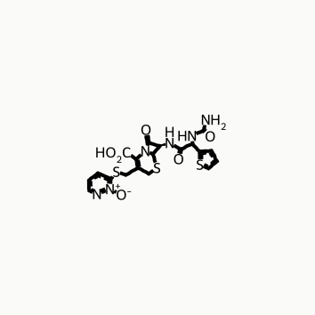 NC(=O)NC(C(=O)N[C@@H]1C(=O)N2C(C(=O)O)=C(CSc3cccn[n+]3[O-])CSC12)c1cccs1